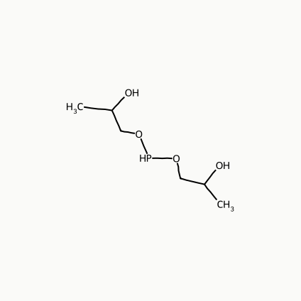 CC(O)COPOCC(C)O